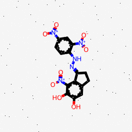 O=[N+]([O-])c1ccc(NN=C2CCc3cc(O)c(O)c([N+](=O)[O-])c32)c([N+](=O)[O-])c1